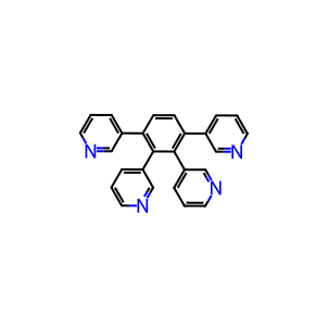 c1cncc(-c2ccc(-c3cccnc3)c(-c3cccnc3)c2-c2cccnc2)c1